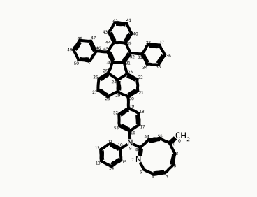 C=C1/C=C\C=C/C/N=C(N(c2ccccc2)c2ccc(-c3ccc4c5c(cccc35)-c3c-4c(-c4ccccc4)c4ccccc4c3-c3ccccc3)cc2)\C=C/1